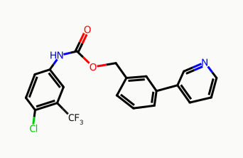 O=C(Nc1ccc(Cl)c(C(F)(F)F)c1)OCc1cccc(-c2cccnc2)c1